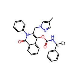 CC[C@H](NC(=O)Oc1c(Cn2cc(C)cn2)n(-c2ccccc2)c(=O)c2ccccc12)c1ccccc1